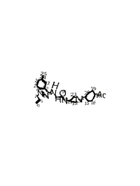 C=CCn1nc(NCC(=O)NC2CN([C@H]3CC[C@@H](C(C)=O)CC3)C2)c2cc(C)ccc21